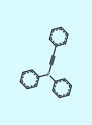 C(#CP(c1ccccc1)c1ccccc1)c1ccccc1